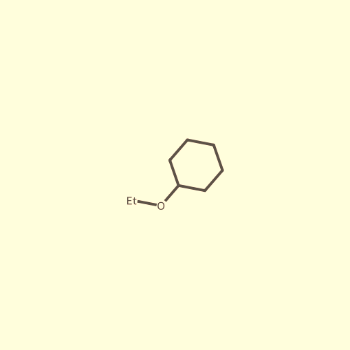 [CH2]COC1CCCCC1